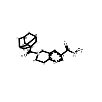 O=C(NO)c1cnc2c(c1)CN(C(=O)C13CC4CC(CC(C4)C1)C3)CC2